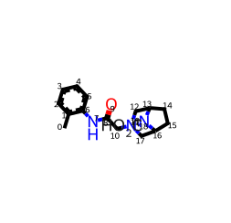 Cc1ccccc1NC(=O)CN1CC2CCC(C1)N2C(=O)O